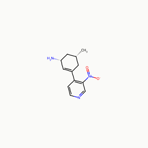 C[C@@H]1CC(c2ccncc2[N+](=O)[O-])=C[C@H](N)C1